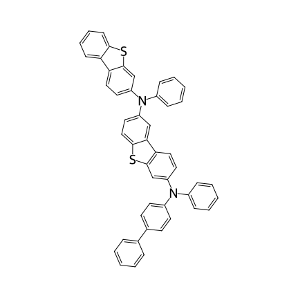 c1ccc(-c2ccc(N(c3ccccc3)c3ccc4c(c3)sc3ccc(N(c5ccccc5)c5ccc6c(c5)sc5ccccc56)cc34)cc2)cc1